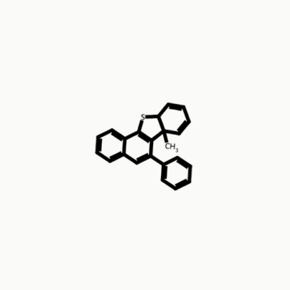 CC12C=CC=CC1Sc1c2c(-c2ccccc2)cc2ccccc12